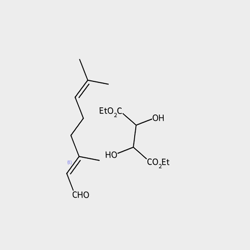 CC(C)=CCC/C(C)=C/C=O.CCOC(=O)C(O)C(O)C(=O)OCC